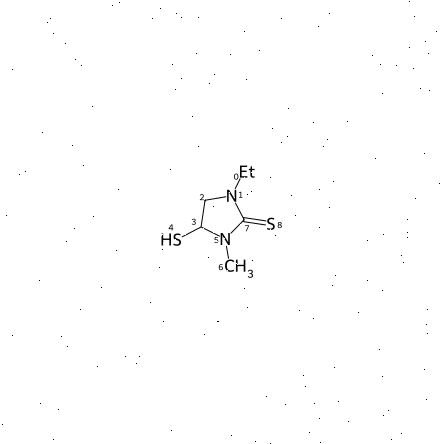 CCN1CC(S)N(C)C1=S